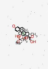 CC(=O)[O-].C[C@H]1C[C@H]2[C@@H]3CCC4=CC(=O)C=C[C@]4(C)[C@@]3(F)[C@@H](O)C[C@]2(C)[C@@]1(O)C(=O)CO.[Na+]